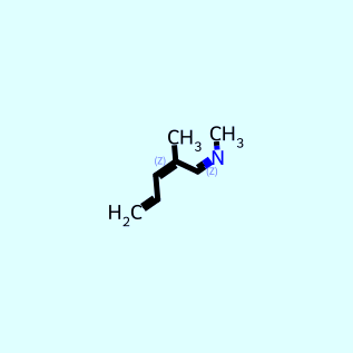 C=C/C=C(C)\C=N/C